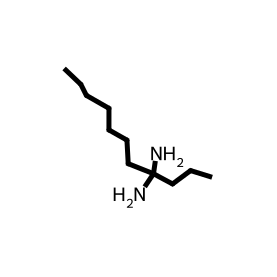 CCCCCCCC(N)(N)CCC